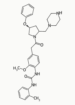 COc1cc(CC(=O)N2C[C@@H](Oc3ccccc3)CC2CN2CCNCC2)ccc1NC(=O)Nc1ccccc1C